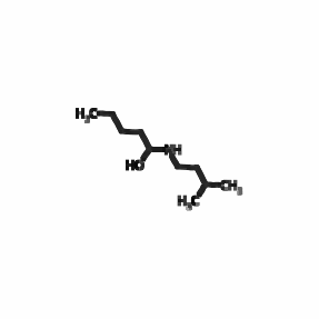 CCCCC(O)NCCC(C)C